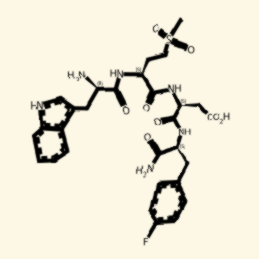 CS(=O)(=O)CC[C@H](NC(=O)[C@H](N)Cc1c[nH]c2ccccc12)C(=O)N[C@@H](CC(=O)O)C(=O)N[C@@H](Cc1ccc(F)cc1)C(N)=O